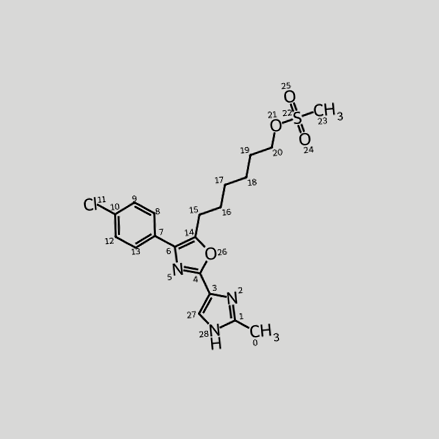 Cc1nc(-c2nc(-c3ccc(Cl)cc3)c(CCCCCCOS(C)(=O)=O)o2)c[nH]1